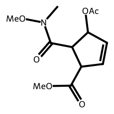 COC(=O)C1C=CC(OC(C)=O)C1C(=O)N(C)OC